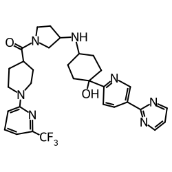 O=C(C1CCN(c2cccc(C(F)(F)F)n2)CC1)N1CCC(NC2CCC(O)(c3ccc(-c4ncccn4)cn3)CC2)C1